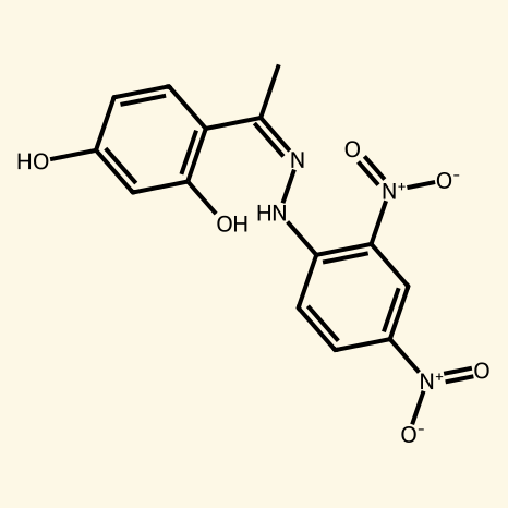 CC(=NNc1ccc([N+](=O)[O-])cc1[N+](=O)[O-])c1ccc(O)cc1O